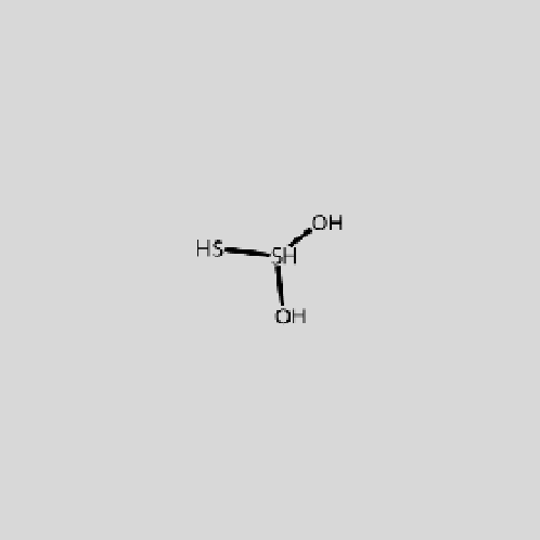 O[SH](O)S